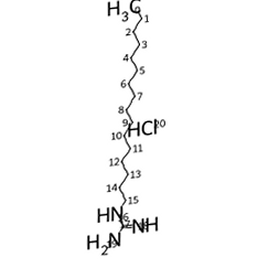 CCCCCCCCCCCCCCCCNC(=N)N.Cl